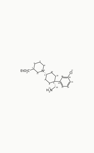 CCOC(=O)C1CCCN([C@H]2CC[C@](CN)(c3cccc(Cl)c3)CC2)C1